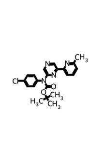 Cc1cccc(-c2cncc(N(C(=O)OC(C)(C)C)c3ccc(Cl)cc3)n2)n1